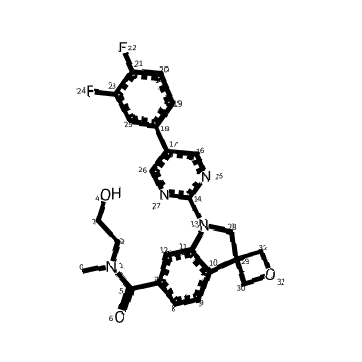 CN(CCO)C(=O)c1ccc2c(c1)N(c1ncc(-c3ccc(F)c(F)c3)cn1)CC21COC1